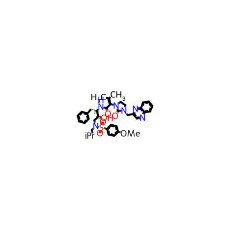 COc1ccc(S(=O)(=O)N(CC(C)C)C[C@H](O)[C@H](Cc2ccccc2)NC(=O)C(=C(C)C)N2CCN(Cc3cnc4ccccc4n3)C2=O)cc1